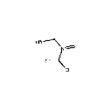 C=[N+](CCl)CCCC.[Cl-]